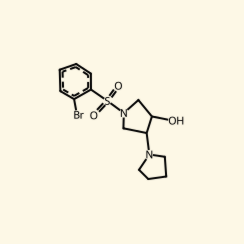 O=S(=O)(c1ccccc1Br)N1CC(O)C(N2CCCC2)C1